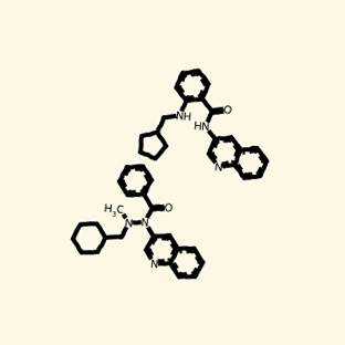 CN(CC1CCCCC1)N(C(=O)c1ccccc1)c1cnc2ccccc2c1.O=C(Nc1cnc2ccccc2c1)c1ccccc1NCC1CCCC1